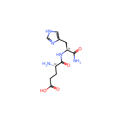 NC(=O)[C@H](Cc1c[nH]cn1)NC(=O)[C@@H](N)CCC(=O)O